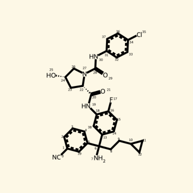 N#Cc1cccc(C(N)(CCC2CC2)c2ccc(F)c(NC(=O)[C@@H]3C[C@H](O)CN3C(=O)Nc3ccc(Cl)cc3)c2)c1